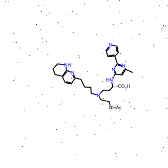 CC(=O)NCCN(CCCCc1ccc2c(n1)NCCC2)CC[C@H](Nc1cc(C)nc(-c2ccncc2)n1)C(=O)O